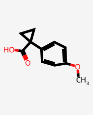 COc1ccc(C2(C(=O)O)CC2)cc1